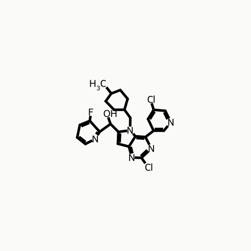 CC1CCC(Cn2c(C(O)c3ncccc3F)cc3nc(Cl)nc(-c4cncc(Cl)c4)c32)CC1